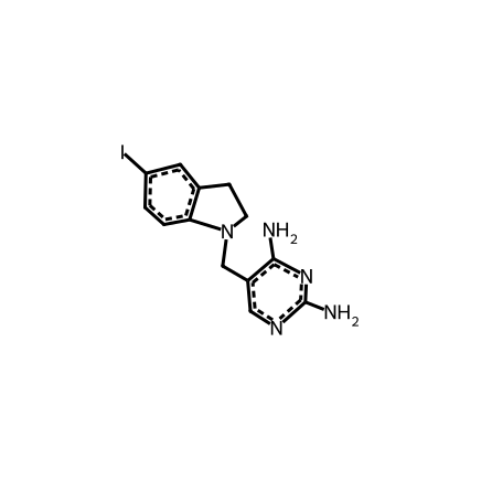 Nc1ncc(CN2CCc3cc(I)ccc32)c(N)n1